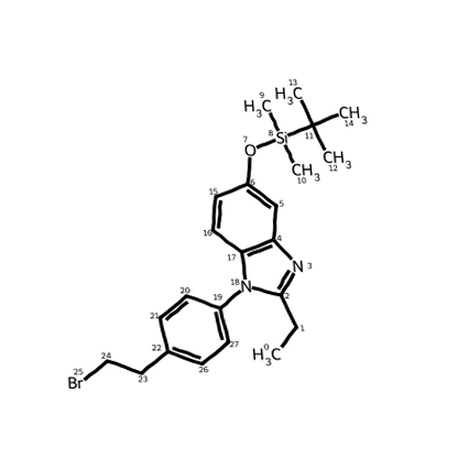 CCc1nc2cc(O[Si](C)(C)C(C)(C)C)ccc2n1-c1ccc(CCBr)cc1